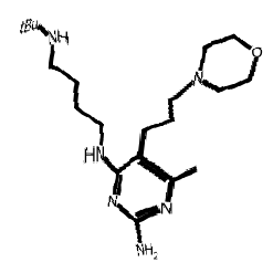 Cc1nc(N)nc(NCCCCNC(C)(C)C)c1CCCN1CCOCC1